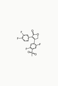 CS(=O)(=O)c1cc(F)c(C2=C(c3ccc(F)c(F)c3)C(=O)OC2)cc1F